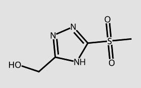 CS(=O)(=O)c1nnc(CO)[nH]1